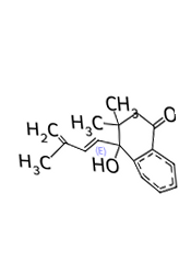 C=C(C)/C=C/C1(O)c2ccccc2C(=O)CC1(C)C